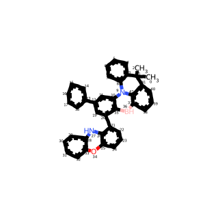 CC1(C)c2ccccc2N2c3cc(-c4ccccc4)cc(-c4cccc5c4Nc4ccccc4O5)c3Bc3cccc1c32